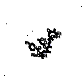 CCC(O)C(C)C1OC1CC(C)(O)/C=C/C=C(\C)C(OC(=O)CC(C)O)C(C)/C=C/C(OC(=O)N1CCCN(CC)CC1)C(C)(CC)OC